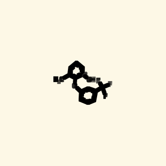 Cc1ccc[n+](O)c1Oc1cccc(C(F)(F)F)c1